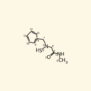 CNC(=O)CN(S)Cc1ccccc1